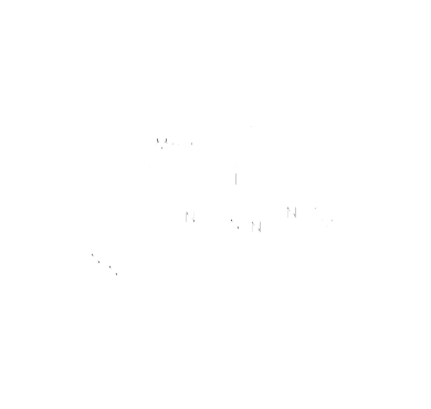 C=CC(=O)N1Cc2cc(-c3nc(-c4ccc5c(cnn5C)c4)c4ccsc4c3-c3c(F)cc(F)cc3OC)nn2C(C)C1